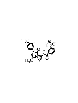 C[C@H]1CN(c2ccc(C(F)(F)F)cc2)C(=O)c2c(NC(=O)c3cccc(S(=O)(=O)F)c3)cnn21